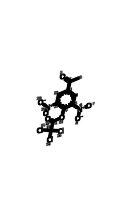 CC(=O)c1cc([N+](=O)[O-])c(OC(=O)C(Cl)(Cl)Cl)c([N+](=O)[O-])c1